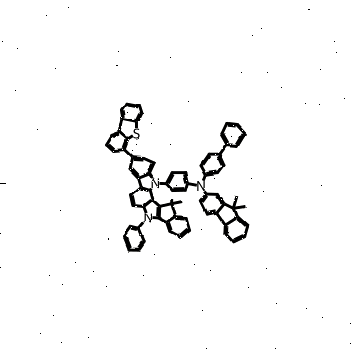 CC1(C)c2ccccc2-c2ccc(N(c3ccc(-c4ccccc4)cc3)c3ccc(-n4c5ccc(-c6cccc7c6sc6ccccc67)cc5c5ccc6c(c7c(n6-c6ccccc6)-c6ccccc6C7(C)C)c54)cc3)cc21